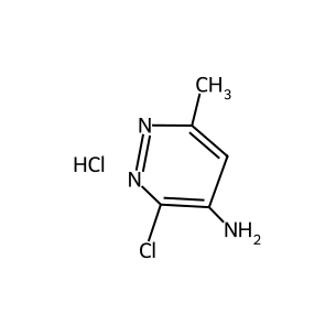 Cc1cc(N)c(Cl)nn1.Cl